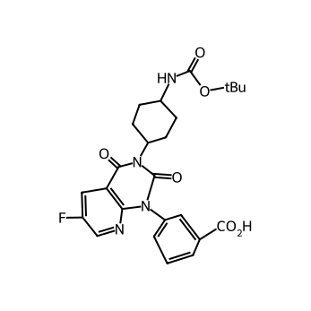 CC(C)(C)OC(=O)NC1CCC(n2c(=O)c3cc(F)cnc3n(-c3cccc(C(=O)O)c3)c2=O)CC1